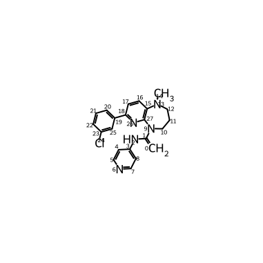 C=C(Nc1ccncc1)N1CCCN(C)c2ccc(-c3cccc(Cl)c3)nc21